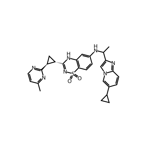 Cc1ccnc([C@H]2C[C@@H]2C2=NS(=O)(=O)c3ccc(NC(C)c4cn5cc(C6CC6)ccc5n4)cc3N2)n1